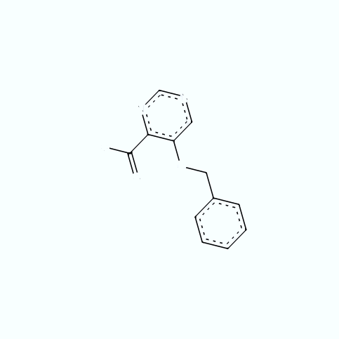 O=C(O)c1ncncc1OCc1ccccc1